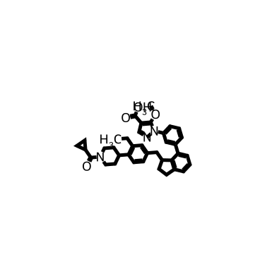 CCc1cc(CC2CCc3cccc(-c4cccc(-n5ncc(C(=O)O)c5OC)c4)c32)ccc1C1CCN(C(=O)C2CC2)CC1